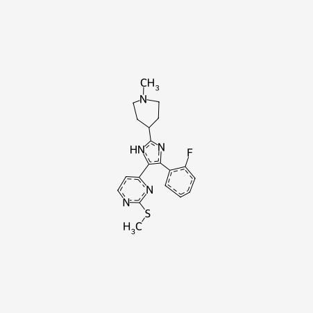 CSc1nccc(-c2[nH]c(C3CCN(C)CC3)nc2-c2ccccc2F)n1